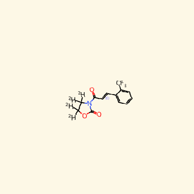 [2H]C1([2H])OC(=O)N(C(=O)/C=C/c2ccccc2C(F)(F)F)C1([2H])[2H]